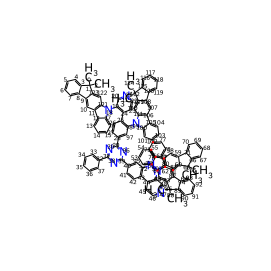 CC1(C)c2ccccc2-c2cc3c4ccccc4n(-c4cnccc4-c4ccc(-c5nc(-c6ccccc6)nc(-c6ccc(-c7ccncc7-n7c8ccccc8c8cc9c(cc87)C(C)(C)c7ccccc7-9)c(-n7c8ccccc8c8cc9c(cc87)C(C)(C)c7ccccc7-9)c6)n5)cc4-n4c5ccccc5c5cc6c(cc54)C(C)(C)c4ccccc4-6)c3cc21